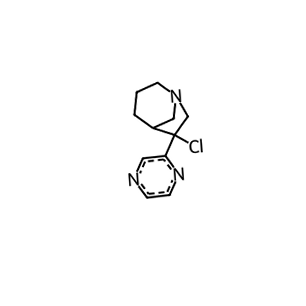 ClC1(c2cnccn2)CN2CCCC1C2